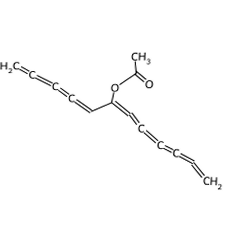 C=C=C=C=C=C=C(C=C=C=C=C)OC(C)=O